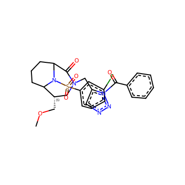 COC[C@H]1CN(Cc2cnnn2C(=O)c2ccccc2)C(=O)C2CCCC1N2S(=O)(=O)c1cccc(F)c1